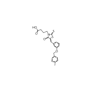 Cc1ccc(COc2cccc(/C=C3\SC(=S)N(CCCC(=O)O)C3=O)c2)cc1